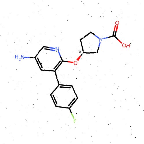 Nc1cnc(O[C@H]2CCN(C(=O)O)C2)c(-c2ccc(F)cc2)c1